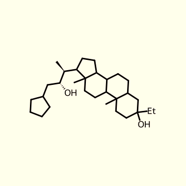 CCC1(O)CCC2(C)C(CCC3C2CCC2(C)C3CCC2[C@H](C)[C@H](O)CC2CCCC2)C1